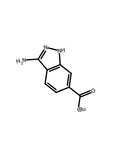 CC(C)(C)C(=O)c1ccc2c(N)n[nH]c2c1